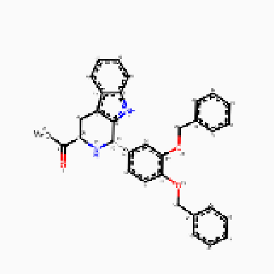 COC(=O)[C@H]1Cc2c([nH]c3ccccc23)[C@H](c2ccc(OCc3ccccc3)c(OCc3ccccc3)c2)N1